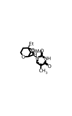 CC[C@@]12CCOC([C@H](n3cc(C)c(=O)[nH]c3=O)O1)[C@H]2OC